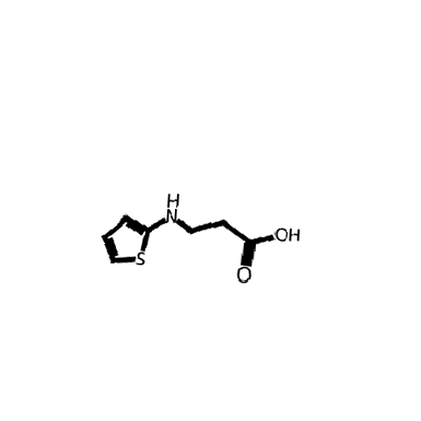 O=C(O)CCNc1cccs1